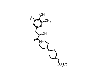 CCOC(=O)CN1CCC(C2CCN(C(=O)[C@H](O)Cc3cc(C)c(O)c(C)c3)CC2)CC1